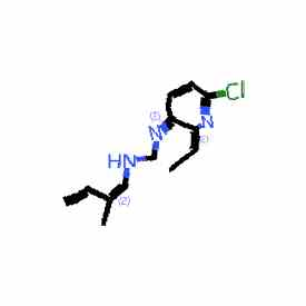 C=C/C(C)=C\NC/N=C1/C=CC(Cl)=N/C1=C/C